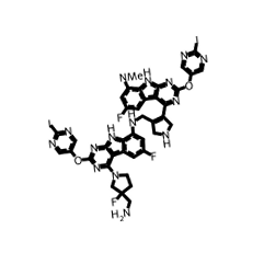 CNc1cc(F)cc2c1[nH]c1nc(Oc3cnc(I)nc3)nc(C3=C(CNc4cc(F)cc5c4[nH]c4nc(Oc6cnc(I)nc6)nc(N6CCC(F)(CN)C6)c45)CNC3)c12